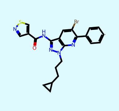 O=C(Nc1nn(CCCC2CC2)c2nc(-c3cc[c]cc3)c(Br)cc12)c1cnsc1